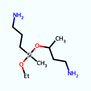 CCO[Si](C)(CCCN)OC(C)CCN